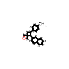 Cc1ccc(C2CC3(COC3)C2c2ccc3ccccc3c2)cc1